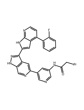 CC(C)CC(=O)Nc1cncc(-c2cc3c(-c4cc5c(-c6ccccc6F)ccnc5[nH]4)n[nH]c3cn2)c1